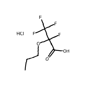 CCCOC(F)(C(=O)O)C(F)(F)F.Cl